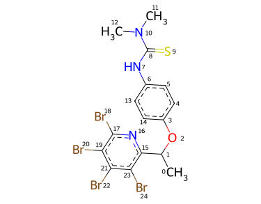 CC(Oc1ccc(NC(=S)N(C)C)cc1)c1nc(Br)c(Br)c(Br)c1Br